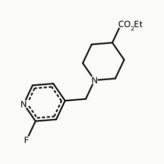 CCOC(=O)C1CCN(Cc2ccnc(F)c2)CC1